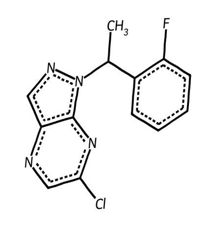 CC(c1ccccc1F)n1ncc2ncc(Cl)nc21